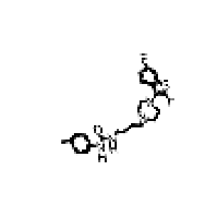 Cc1ccc(NC(=O)NCCCCN2CCN(c3c(F)sc4cc(F)ccc34)CC2)cc1